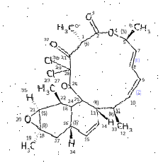 C[C@@H]1C(=O)O[C@@H](C)/C=C/C=C\[C@@H](C)[C@@H]2C=C[C@@H]3C[C@@]4(C)O[C@H]4[C@@H](C)C3C2C(=O)C(Cl)(Cl)C1=O